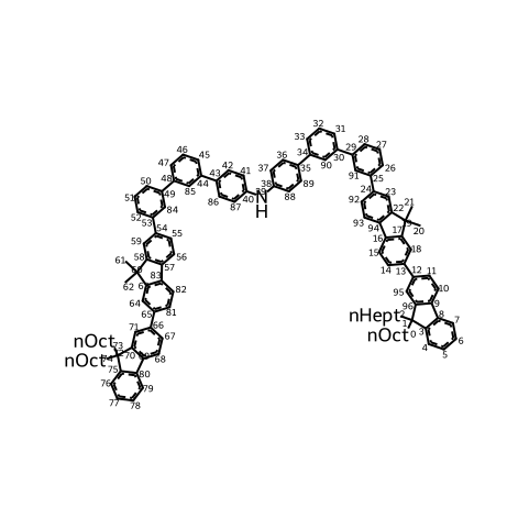 CCCCCCCCC1(CCCCCCC)c2ccccc2-c2ccc(-c3ccc4c(c3)C(C)(C)c3cc(-c5cccc(-c6cccc(-c7ccc(Nc8ccc(-c9cccc(-c%10cccc(-c%11ccc%12c(c%11)C(C)(C)c%11cc(-c%13ccc%14c(c%13)C(CCCCCCCC)(CCCCCCCC)c%13ccccc%13-%14)ccc%11-%12)c%10)c9)cc8)cc7)c6)c5)ccc3-4)cc21